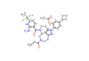 C=CC(=O)N1CCc2nn(-c3ccc(C4CCC4)cc3OC(C)=O)c3c2C(C1)N(C(=O)c1ccc(C(C)(F)F)nc1N)CC3